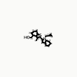 Cc1c(-c2cc3ccccc3n2CC2CC2)sc2cccc(CO)c12